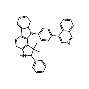 CC1(C)c2c(ccc3c2N(c2ccc(-c4cncc5ccccc45)cc2)C2CC=CC=C32)NC1c1ccccc1